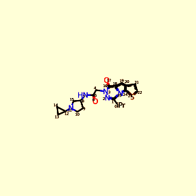 CC(C)c1nn(CC(=O)NC2CCN(C3CC3)C2)c(=O)c2cc3ccsc3n12